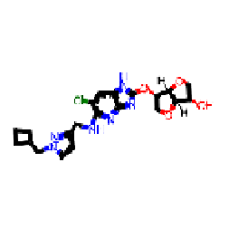 O[C@@H]1CO[C@H]2[C@@H]1OC[C@H]2Oc1nc2nc(NCc3ccn(CC4CCC4)n3)c(Cl)cc2[nH]1